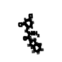 NC(Cc1ccc(Cl)cc1Cl)C(=O)N1Cc2cccnc2C1